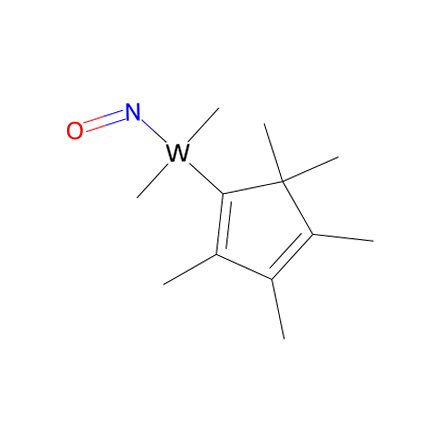 CC1=C(C)C(C)(C)[C]([W]([CH3])([CH3])[N]=O)=C1C